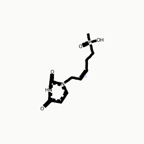 CP(=O)(O)CC/C=C\Cn1ccc(=O)[nH]c1=O